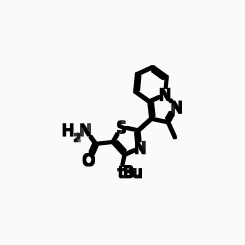 Cc1nn2ccccc2c1-c1nc(C(C)(C)C)c(C(N)=O)s1